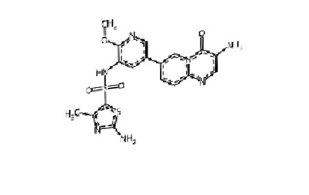 COc1ncc(-c2ccc3ncc(N)c(=O)n3c2)cc1NS(=O)(=O)c1sc(N)nc1C